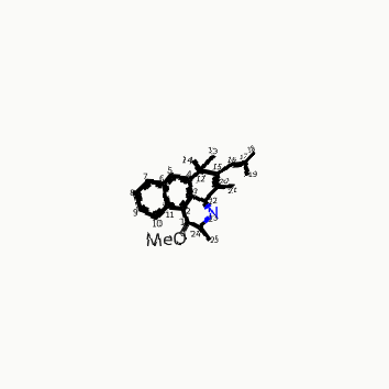 COC1c2c3c(cc4ccccc24)C(C)(C)C(C=C(C)C)=C(C)C3=NC1C